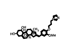 COc1cc(/C=C2/C[C@H]3[C@@H]4CC=C5C[C@@H](O)C[C@@H](O)[C@]5(C)[C@H]4CC[C@]3(C)C2)ccc1OCCCn1ccnc1